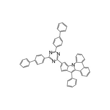 c1ccc(-c2ccc(-c3nc(-c4ccc(-c5ccccc5)cc4)nc(-c4ccc5c(-c6ccccc6)c6c7ccccc7c7ccccc7n6c5c4)n3)cc2)cc1